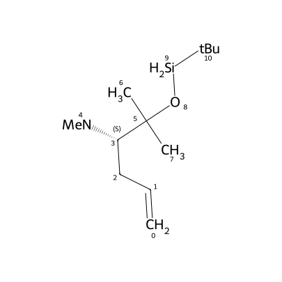 C=CC[C@H](NC)C(C)(C)O[SiH2]C(C)(C)C